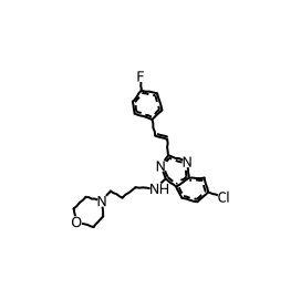 Fc1ccc(/C=C/c2nc(NCCCN3CCOCC3)c3ccc(Cl)cc3n2)cc1